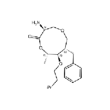 CC(C)CCO[C@@H]1[C@@H](Cc2ccccc2)COC[C@H](N)C(=O)O[C@H]1C